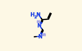 C=C/C(N)=N\C=N/C